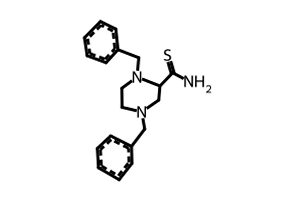 NC(=S)C1CN(Cc2ccccc2)CCN1Cc1ccccc1